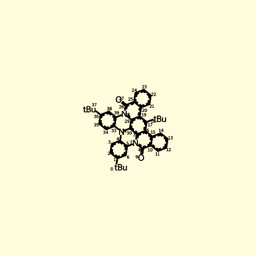 CC(C)(C)c1ccc2c(c1)-n1c(=O)c3ccccc3c3c(C(C)(C)C)c4c5ccccc5c(=O)n5c4c(c31)N2c1ccc(C(C)(C)C)cc1-5